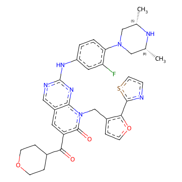 C[C@@H]1CN(c2ccc(Nc3ncc4cc(C(=O)C5CCOCC5)c(=O)n(Cc5ccoc5-c5nccs5)c4n3)cc2F)C[C@H](C)N1